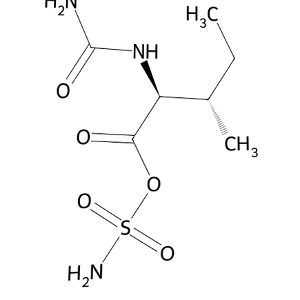 CC[C@H](C)[C@H](NC(N)=O)C(=O)OS(N)(=O)=O